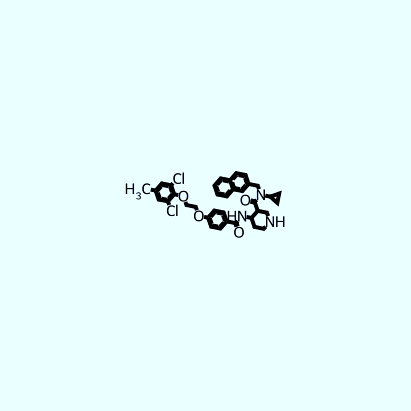 Cc1cc(Cl)c(OCCOc2ccc(C(=O)NC3CCNCC3C(=O)N(Cc3ccc4ccccc4c3)C3CC3)cc2)c(Cl)c1